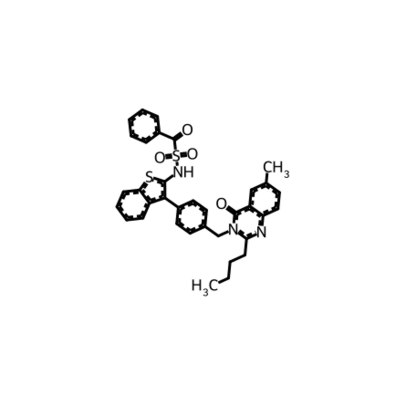 CCCCc1nc2ccc(C)cc2c(=O)n1Cc1ccc(-c2c(NS(=O)(=O)C(=O)c3ccccc3)sc3ccccc23)cc1